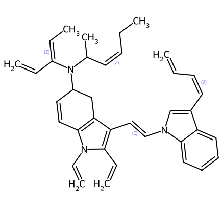 C=C/C=C\c1cn(/C=C/c2c3c(n(C=C)c2C=C)C=CC(N(/C(C=C)=C\C)C(C)/C=C\CC)C3)c2ccccc12